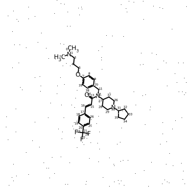 CN(C)CCCOc1ccc(CN(C(=O)C=Cc2ccc(C(F)(F)F)cc2)C2CCN(C3CCCC3)CC2)cc1